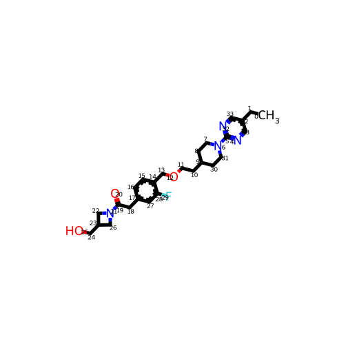 CCc1cnc(N2CCC(CCOCc3ccc(CC(=O)N4CC(CO)C4)cc3F)CC2)nc1